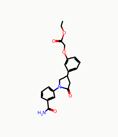 CCOC(=O)COc1cccc(C2CC(=O)N(c3cccc(C(N)=O)c3)C2)c1